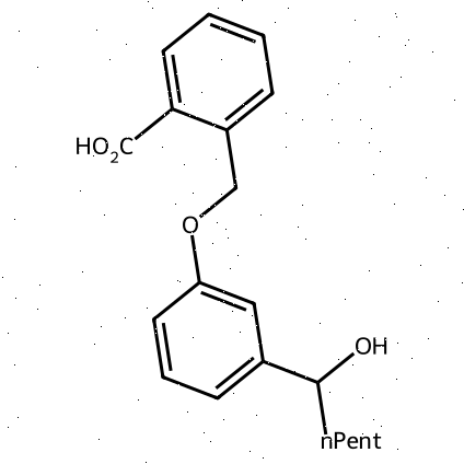 CCCCCC(O)c1cccc(OCc2ccccc2C(=O)O)c1